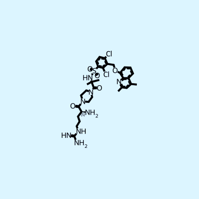 Cc1cc(C)c2cccc(OCc3c(Cl)ccc(S(=O)(=O)NC(C)(C)C(=O)N4CCN(C(=O)[C@@H](N)CCCNC(=N)N)CC4)c3Cl)c2n1